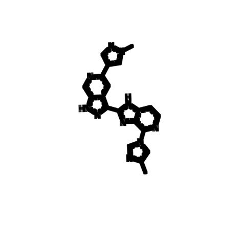 Cc1cn(-c2nccc3[nH]c(-c4n[nH]c5cnc(-c6cnn(C)c6)cc45)nc23)cn1